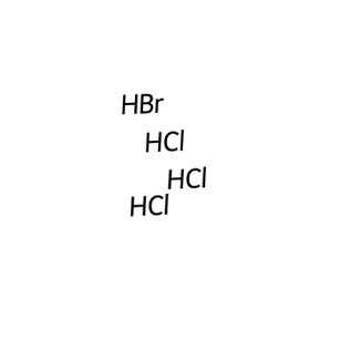 Br.Cl.Cl.Cl